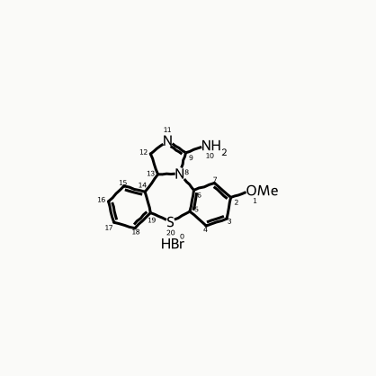 Br.COc1ccc2c(c1)N1C(N)=NCC1c1ccccc1S2